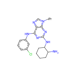 CC(C)n1cnc2c(Nc3cccc(Cl)c3)nc(NC3CCCCC3N)nc21